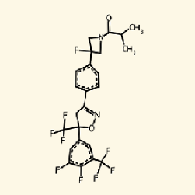 CC(C)C(=O)N1CC(F)(c2ccc(C3=NOC(c4cc(F)c(F)c(C(F)(F)F)c4)(C(F)(F)F)C3)cc2)C1